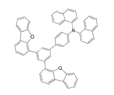 c1ccc2c(N(c3ccc(-c4cc(-c5cccc6c5oc5ccccc56)cc(-c5cccc6c5oc5ccccc56)c4)cc3)c3cccc4ccccc34)cccc2c1